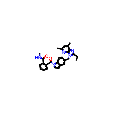 CCc1nc2c(C)cc(C)nc2n1Cc1ccc2c(ccn2C(=O)c2ccccc2C(=O)NC)c1